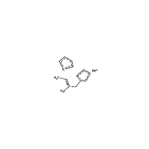 CC=C(C)C[c-]1cccc1.[Fe+2].c1cc[cH-]c1